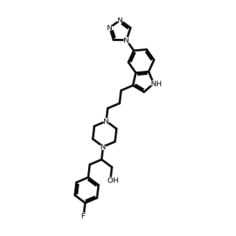 OCC(Cc1ccc(F)cc1)N1CCN(CCCc2c[nH]c3ccc(-n4cnnc4)cc23)CC1